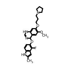 COc1cc2c(cc1OCCCN1CCCC1)NC=NC2Oc1ccc2[nH]c(C)cc2c1F